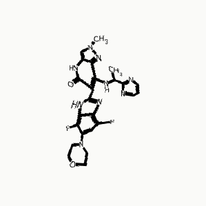 CC(Nc1c(-c2nc3c(F)cc(N4CCOCC4)c(F)c3[nH]2)c(=O)[nH]c2cn(C)nc12)c1ncccn1